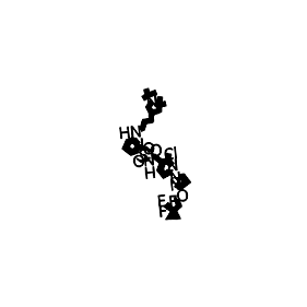 CC(C)(C)N1CC(CCCNc2cccc(S(=O)(=O)NC(=O)c3ccc(-n4ccc(OCCC5(C(F)(F)F)CC5)n4)nc3Cl)n2)CC1(C)C